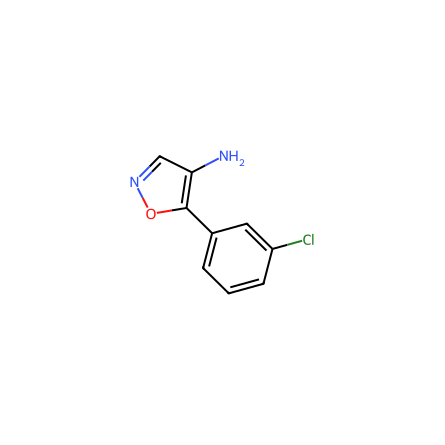 Nc1cnoc1-c1cccc(Cl)c1